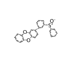 [O-][S+](c1ccccc1)c1cccc(-c2ccc3c(c2)Oc2ccccc2O3)c1